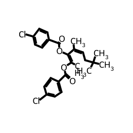 CC(=C/CC(C)(C)C)/C(OC(=O)c1ccc(Cl)cc1)=C(\C)OC(=O)c1ccc(Cl)cc1